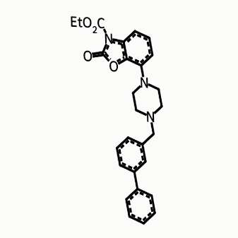 CCOC(=O)n1c(=O)oc2c(N3CCN(Cc4cccc(-c5ccccc5)c4)CC3)cccc21